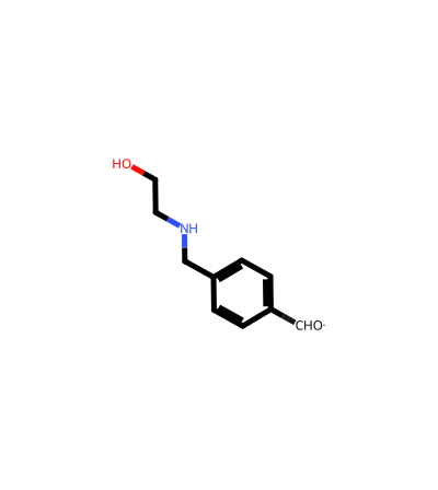 O=[C]c1ccc(CNCCO)cc1